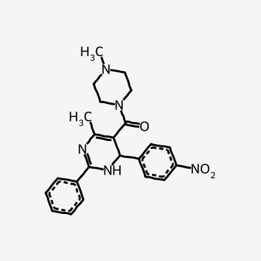 CC1=C(C(=O)N2CCN(C)CC2)C(c2ccc([N+](=O)[O-])cc2)NC(c2ccccc2)=N1